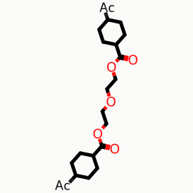 CC(=O)C1CCC(C(=O)OCCOCCOC(=O)C2CCC(C(C)=O)CC2)CC1